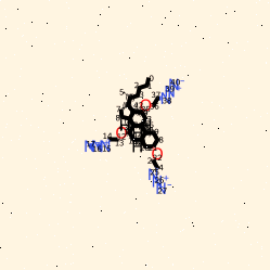 CCCC[C@@H](C)[C@H]1CC[C@H]2[C@@H]3[C@H](OCCN=[N+]=[N-])C[C@@H]4CC(OCCN=[N+]=[N-])CC[C@]4(C)[C@H]3C[C@H](OCCN=[N+]=[N-])[C@]12C